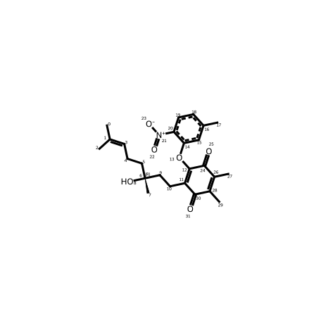 CC(C)=CCC[C@@](C)(O)CCC1=C(Oc2cc(C)ccc2[N+](=O)[O-])C(=O)C(C)=C(C)C1=O